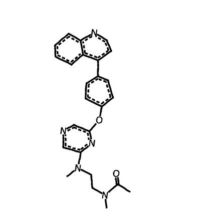 CC(=O)N(C)CCN(C)c1cncc(Oc2ccc(-c3ccnc4ccccc34)cc2)n1